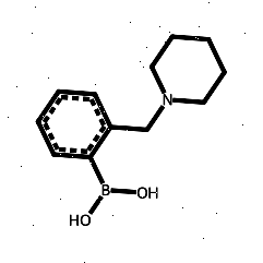 OB(O)c1ccccc1CN1CCCCC1